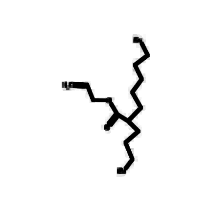 C=CCOC(=O)C(CCCCCC(C)CC)CCCC(C)CC